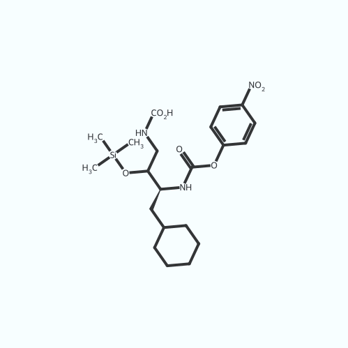 C[Si](C)(C)OC(CNC(=O)O)[C@H](CC1CCCCC1)NC(=O)Oc1ccc([N+](=O)[O-])cc1